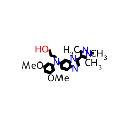 COc1cc(OC)cc(N(CCCO)c2ccc3ncc(-c4c(C)nn(C)c4C)nc3c2)c1